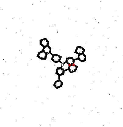 c1ccc(-c2ccc(N(c3ccc(-c4cccc5ccccc45)cc3)c3ccc(-c4cc5ccccc5c5ccccc45)cc3)c(-c3ccccc3)c2)cc1